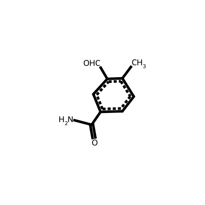 Cc1ccc(C(N)=O)cc1C=O